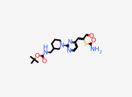 CC(C)(C)OC(=O)NCC1CCCN(c2nccc(C=C(C=O)SC(N)=O)n2)C1